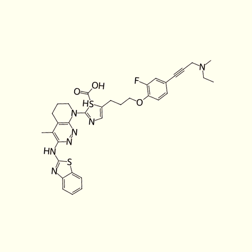 CCN(C)CC#Cc1ccc(OCCCC2=CN=C(N3CCCc4c3nnc(Nc3nc5ccccc5s3)c4C)[SH]2C(=O)O)c(F)c1